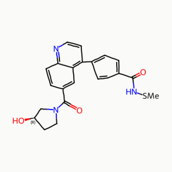 CSNC(=O)c1ccc(-c2ccnc3ccc(C(=O)N4CC[C@@H](O)C4)cc23)cc1